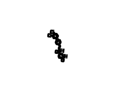 O=C(NCCC1CCN(c2ccc(Cl)c(Cl)c2)CC1)c1ccc(=O)[nH]c1